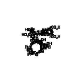 CCC(=O)[C@@H]1CSSC[C@H](NC(=O)[C@@H](CCC(=O)O)CC(=O)[C@H](Cc2ccc(O)cc2)NC(=S)Nc2ccc(CC3CN(CC(=O)O)CCN(CC(=O)O)CCN3CC(=O)O)cc2)C(=O)N2C[C@H](O)C[C@H]2C(=O)C[C@@H](Cc2ccc(O)c(Cl)c2)C(=O)NCC(=O)C[C@@H](CC(C)C)C(=O)N1